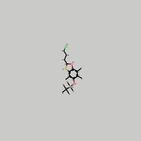 Cc1c(C)c2c(c(C)c1O[Si](C)(C)C(C)(C)C)SC(CCCCl)O2